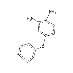 Nc1ccc(Oc2cc[c]cc2)cc1N